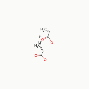 C=CC(=O)[O-].C=CC(=O)[O-].[Li+].[Li+]